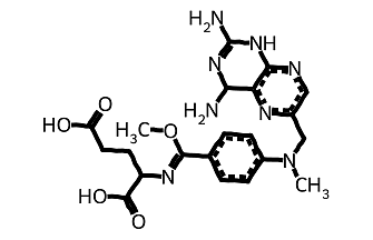 CO/C(=N\C(CCC(=O)O)C(=O)O)c1ccc(N(C)Cc2cnc3c(n2)C(N)N=C(N)N3)cc1